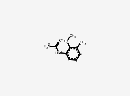 COc1c(C)cccc1NC(N)=S